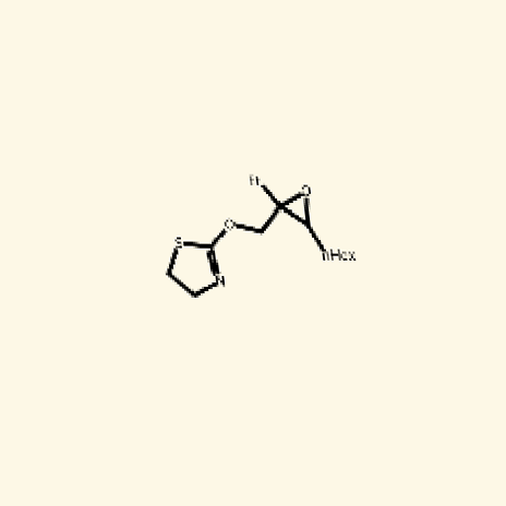 CCCCCCC1OC1(CC)COC1=NCCS1